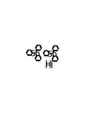 I.I.c1cc[c]([Sb]([c]2ccccc2)[c]2ccccc2)cc1.c1cc[c]([Sb]([c]2ccccc2)[c]2ccccc2)cc1